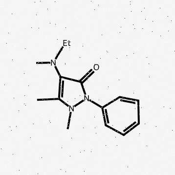 CCN(C)c1c(C)n(C)n(-c2ccccc2)c1=O